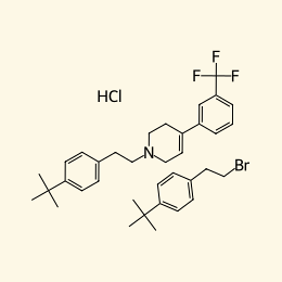 CC(C)(C)c1ccc(CCBr)cc1.CC(C)(C)c1ccc(CCN2CC=C(c3cccc(C(F)(F)F)c3)CC2)cc1.Cl